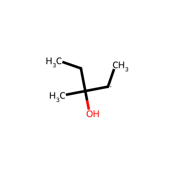 C[CH]C(C)(O)CC